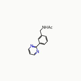 CC(=O)NCc1cccc(-c2ncccn2)c1